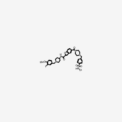 CCNS(=O)(=O)c1ccc(CN2CCN(C(=O)c3ccc4oc(C(=O)NC5CCN(Cc6ccc(OC)c(F)c6)CC5)cc4c3)CC2)cc1